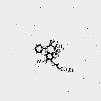 CCCCC1CN(c2ccccc2)c2cc(SC)c(O/C=C/C(=O)OCC)cc2S(=O)(=O)N1C